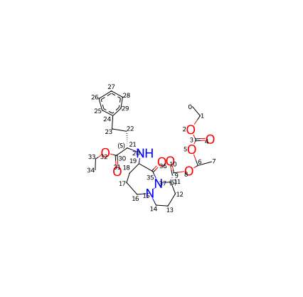 CCOC(=O)OC(C)OC(=O)[C@@H]1CCCN2CCCC(N[C@@H](CCc3ccccc3)C(=O)OCC)C(=O)N12